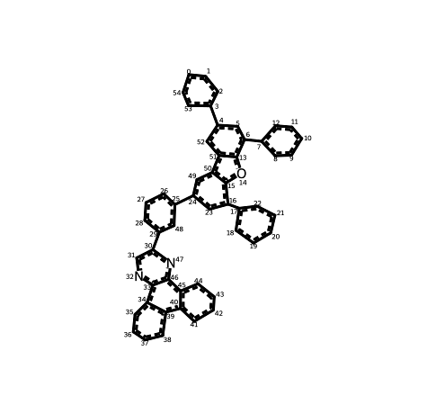 c1ccc(-c2cc(-c3ccccc3)c3oc4c(-c5ccccc5)cc(-c5cccc(-c6cnc7c8ccccc8c8ccccc8c7n6)c5)cc4c3c2)cc1